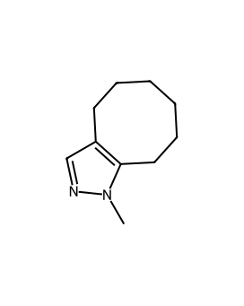 Cn1ncc2c1CCCCCC2